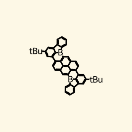 CC(C)(C)c1cc2c3c(c1)-c1ccc4cc5c6c(ccc7cc(c1c4c76)B3c1ccccc1-2)-c1cc(C(C)(C)C)cc2c1B5c1ccccc1-2